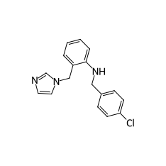 Clc1ccc(CNc2ccccc2Cn2ccnc2)cc1